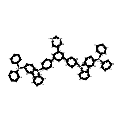 c1ccc(N(c2ccccc2)c2ccc3c(c2)c2ccccc2n3-c2ccc(-c3cc(-c4ccc(-n5c6ccccc6c6cc(N(c7ccccc7)c7ccccc7)ccc65)cc4)cc(-c4cncnc4)c3)cc2)cc1